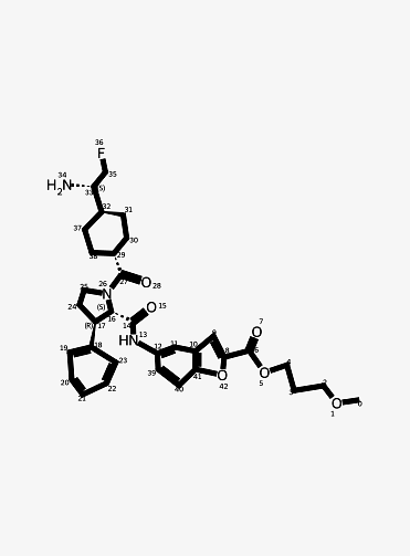 COCCCOC(=O)c1cc2cc(NC(=O)[C@@H]3[C@@H](c4ccccc4)CCN3C(=O)[C@H]3CC[C@H]([C@H](N)CF)CC3)ccc2o1